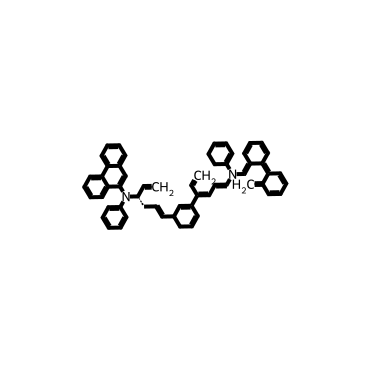 C=C/C(=C\C=C\N(/C=c1\cccc\c1=c1/ccccc1=C)C1=CC=CCC1)C1=CC(/C=C/C[C@@H](C=C)N(c2ccccc2)c2cc3ccccc3c3ccccc23)CC=C1